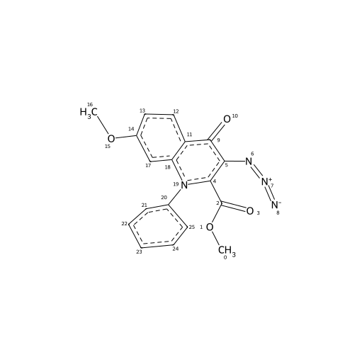 COC(=O)c1c(N=[N+]=[N-])c(=O)c2ccc(OC)cc2n1-c1ccccc1